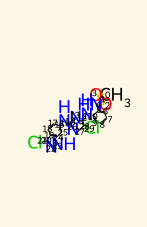 CS(=O)(=O)Nc1ccccc1Nc1nc(Nc2ccc3c(Cl)n[nH]c3c2)ncc1Cl